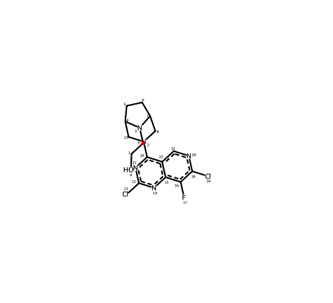 OCCN1C2CCC1CN(c1nc(Cl)nc3c(F)c(Cl)ncc13)C2